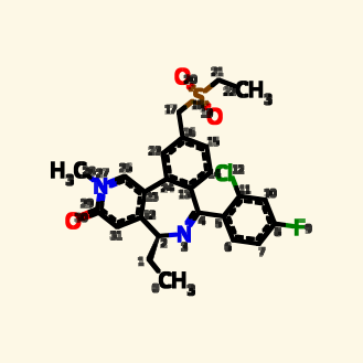 CC[C@@H]1N=C(c2ccc(F)cc2Cl)c2ccc(CS(=O)(=O)CC)cc2-c2cn(C)c(=O)cc21